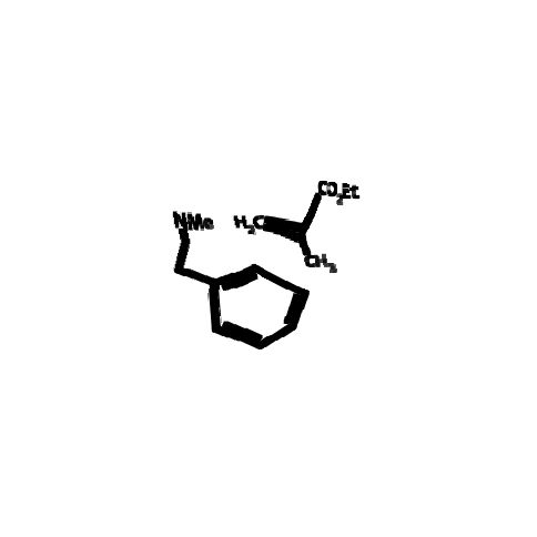 C=C(C)C(=O)OCC.CNCc1ccccc1